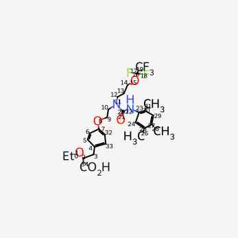 CCOC(Cc1ccc(OCCN(CCCOC(F)(F)C(F)(F)F)C(=O)Nc2cc(C)c(C)cc2C)cc1)C(=O)O